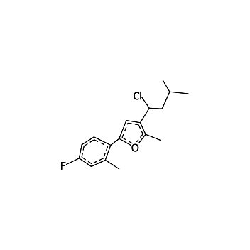 Cc1cc(F)ccc1-c1cc(C(Cl)CC(C)C)c(C)o1